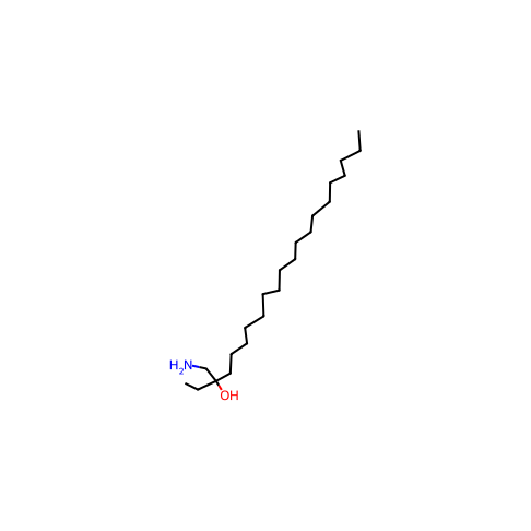 CCCCCCCCCCCCCCCCCCC(O)(CC)CN